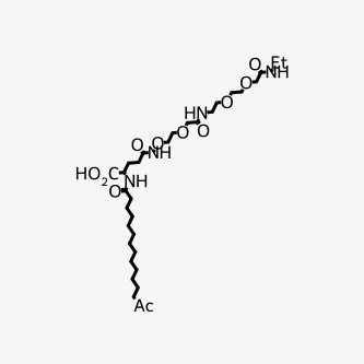 CCNC(=O)COCCOCCNC(=O)COCCONC(=O)CCC(NC(=O)CCCCCCCCCCCCC(C)=O)C(=O)O